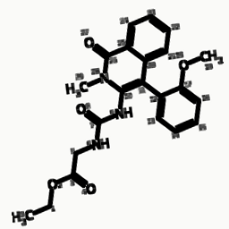 CCOC(=O)CNC(=O)Nc1c(-c2ccccc2OC)c2ccccc2c(=O)n1C